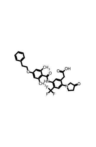 Cc1cc(OCCc2ccccc2)cc(C)c1C(=O)Nc1cc(CC(=O)O)c(N2CCC(=O)C2)cc1C(F)(F)F